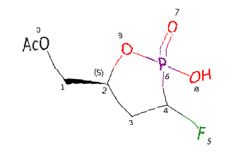 CC(=O)OC[C@@H]1CC(F)P(=O)(O)O1